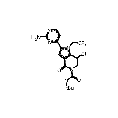 CCC1CN(C(=O)OC(C)(C)C)C(=O)c2cc(-c3ccnc(N)n3)n(CC(F)(F)F)c21